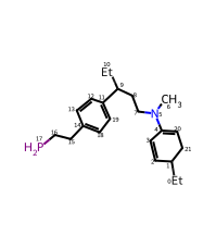 CCC1C=CC(N(C)CCC(CC)c2ccc(CCP)cc2)=CC1